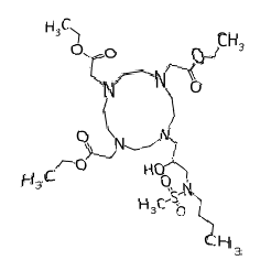 CCCCN(CC(O)CN1CCN(CC(=O)OCC)CCN(CC(=O)OCC)CCN(CC(=O)OCC)CC1)S(C)(=O)=O